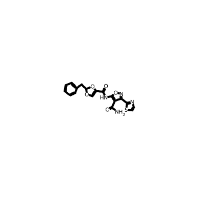 NC(=O)c1c(-c2nccs2)noc1NC(=O)C1=COC(Cc2ccccc2)O1